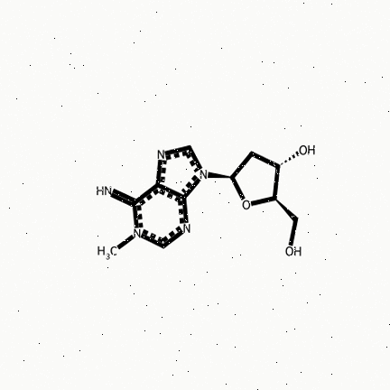 Cn1cnc2c(ncn2[C@H]2C[C@H](O)[C@@H](CO)O2)c1=N